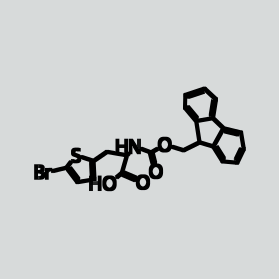 O=C(NC(Cc1ccc(Br)s1)C(=O)O)OCC1c2ccccc2-c2ccccc21